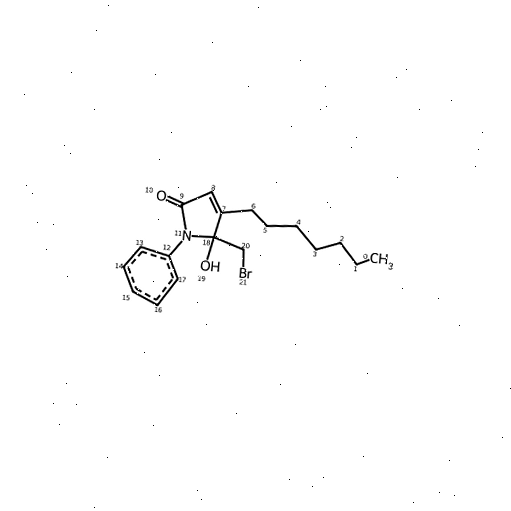 CCCCCCCC1=CC(=O)N(c2ccccc2)C1(O)CBr